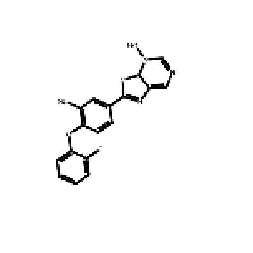 N#Cc1cc(C2=NC3=CN=CN(O)C3S2)ccc1Oc1ccccc1F